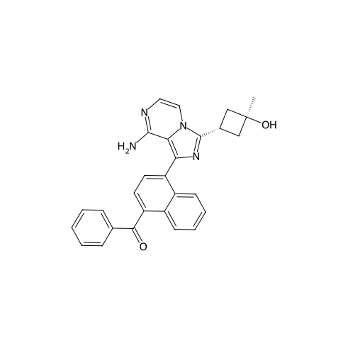 C[C@]1(O)C[C@H](c2nc(-c3ccc(C(=O)c4ccccc4)c4ccccc34)c3c(N)nccn32)C1